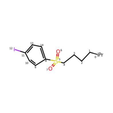 CC(C)CCCCS(=O)(=O)c1ccc(I)cc1